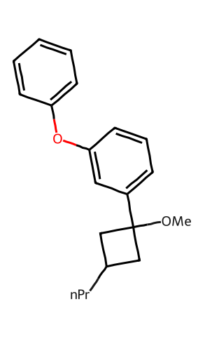 CCCC1CC(OC)(c2cccc(Oc3ccccc3)c2)C1